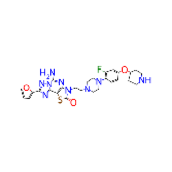 Nc1nc2c(sc(=O)n2CCN2CCN(c3ccc(OC4CCNCC4)cc3F)CC2)c2nc(-c3ccco3)nn12